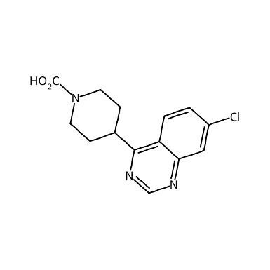 O=C(O)N1CCC(c2ncnc3cc(Cl)ccc23)CC1